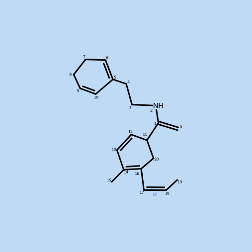 C=C(NCCC1=CCCC=C1)C1C=CC(C)=C(/C=C\C)C1